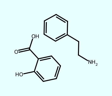 NCCc1ccccc1.O=C(O)c1ccccc1O